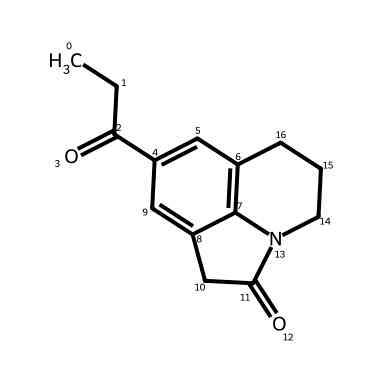 CCC(=O)c1cc2c3c(c1)CC(=O)N3CCC2